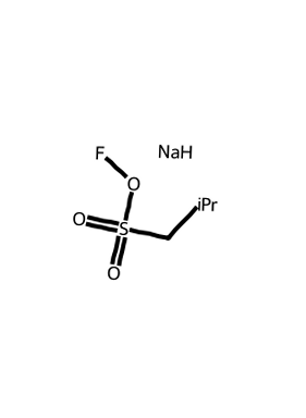 CC(C)CS(=O)(=O)OF.[NaH]